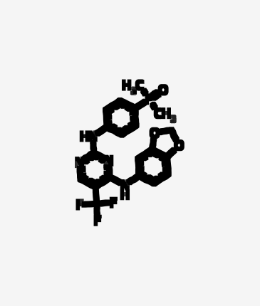 CP(C)(=O)c1ccc(Nc2ncc(C(F)(F)F)c(Nc3ccc4c(c3)OCO4)n2)cc1